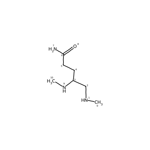 CNCC(CCC(N)=O)NC